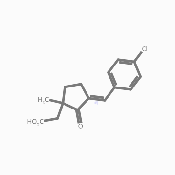 CC1(CC(=O)O)CC/C(=C\c2ccc(Cl)cc2)C1=O